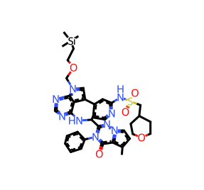 Cc1ccn2nc(C(C)Nc3ncnc4c3c(-c3ccnc(NS(=O)(=O)CC5CCOCC5)c3)cn4COCC[Si](C)(C)C)n(-c3ccccc3)c(=O)c12